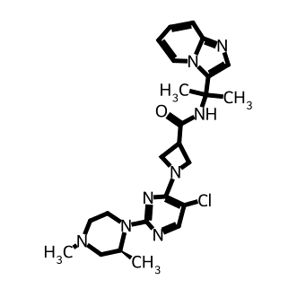 C[C@H]1CN(C)CCN1c1ncc(Cl)c(N2CC(C(=O)NC(C)(C)c3cnc4ccccn34)C2)n1